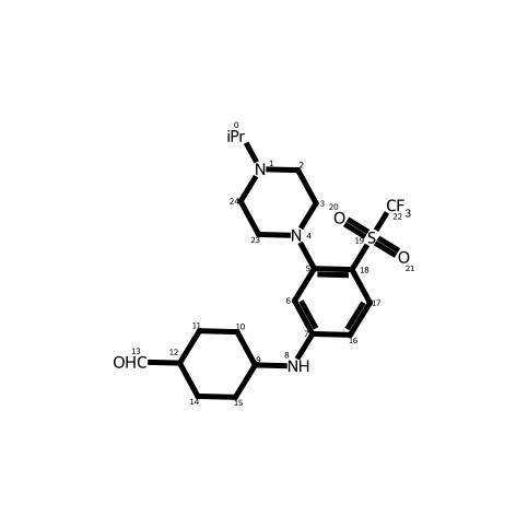 CC(C)N1CCN(c2cc(NC3CCC(C=O)CC3)ccc2S(=O)(=O)C(F)(F)F)CC1